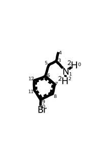 [2H]N([2H])C(C)Cc1ccc(Br)cc1